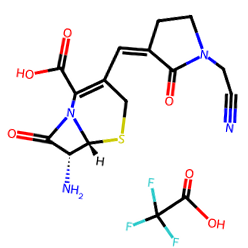 N#CCN1CCC(=CC2=C(C(=O)O)N3C(=O)[C@@H](N)[C@H]3SC2)C1=O.O=C(O)C(F)(F)F